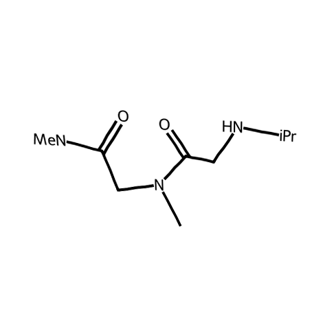 CNC(=O)CN(C)C(=O)CNC(C)C